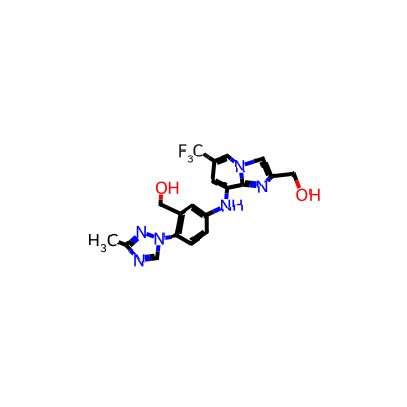 Cc1ncn(-c2ccc(Nc3cc(C(F)(F)F)cn4cc(CO)nc34)cc2CO)n1